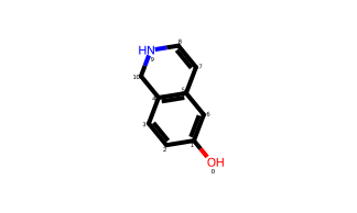 Oc1ccc2c(c1)C=CNC2